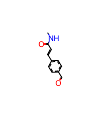 CNC(=O)/C=C/c1ccc(C=O)cc1